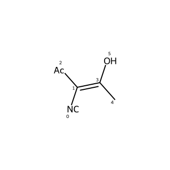 [C-]#[N+]/C(C(C)=O)=C(\C)O